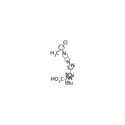 Cc1ccc(Cl)cc1N1CC2CN(c3ncc(-c4nnn(C(C(=O)O)C(C)(C)C)n4)s3)CC2C1